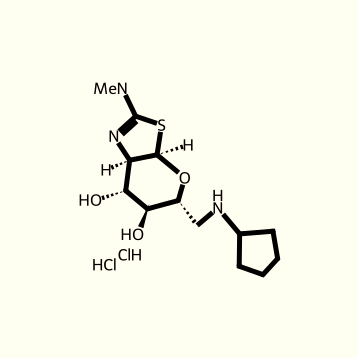 CNC1=N[C@@H]2[C@@H](O)[C@H](O)[C@@H](CNC3CCCC3)O[C@@H]2S1.Cl.Cl